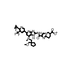 COCC1(CN(C)c2cc(-c3cnc(C4CC4)c(C(F)(F)F)c3)nc3nc(NC(=O)c4cn5c(n4)CCC(C(=O)OC)C5)[nH]c23)CCCC1